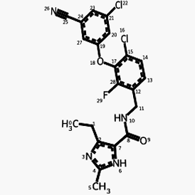 CCc1nc(C)[nH]c1C(=O)NCc1ccc(Cl)c(Oc2cc(Cl)cc(C#N)c2)c1F